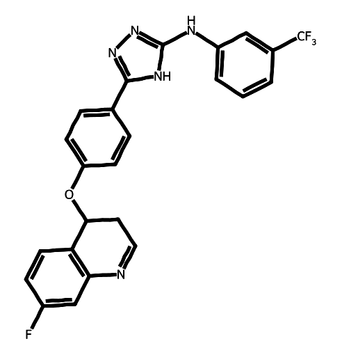 Fc1ccc2c(c1)N=CCC2Oc1ccc(-c2nnc(Nc3cccc(C(F)(F)F)c3)[nH]2)cc1